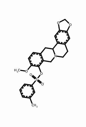 COc1ccc2c(c1OS(=O)(=O)c1cccc(C)c1)CN1CCc3cc4c(cc3C1C2)OCO4